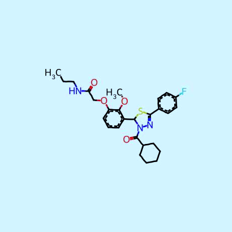 CCCNC(=O)COc1cccc(C2SC(c3ccc(F)cc3)=NN2C(=O)C2CCCCC2)c1OC